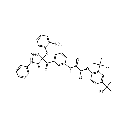 CCC(Oc1ccc(C(C)(C)CC)cc1C(C)(C)CC)C(=O)Nc1cccc(C(=O)C(OC)(Sc2ccccc2[N+](=O)[O-])C(=O)Nc2ccccc2)c1